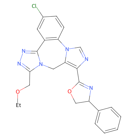 CCOCc1nnc2n1Cc1c(C3=NC(c4ccccc4)CO3)ncn1-c1ccc(Cl)cc1-2